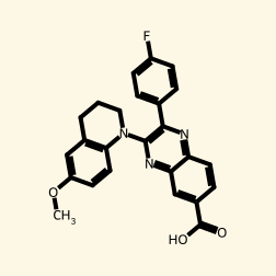 COc1ccc2c(c1)CCCN2c1nc2cc(C(=O)O)ccc2nc1-c1ccc(F)cc1